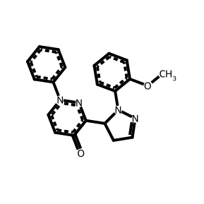 COc1ccccc1N1N=CCC1c1nn(-c2ccccc2)ccc1=O